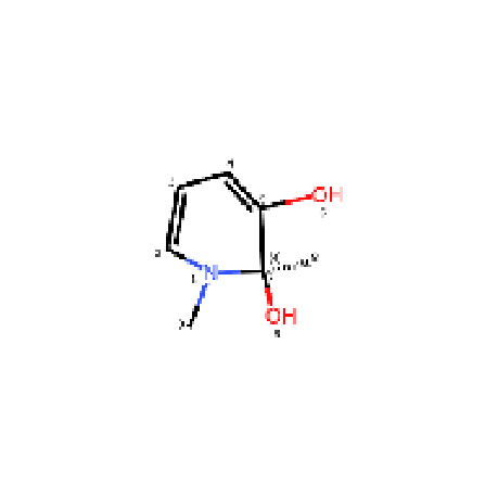 CN1C=CC=C(O)[C@@]1(C)O